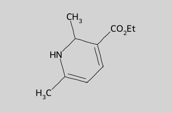 CCOC(=O)C1=CC=C(C)NC1C